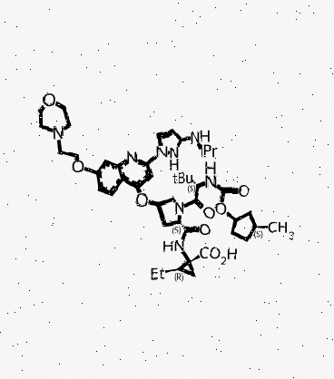 CC[C@@H]1C[C@]1(NC(=O)[C@@H]1CC(Oc2cc(N3C=CC(NC(C)C)N3)nc3cc(OCCN4CCOCC4)ccc23)CN1C(=O)[C@@H](NC(=O)OC1CC[C@H](C)C1)C(C)(C)C)C(=O)O